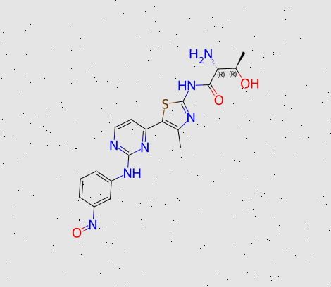 Cc1nc(NC(=O)[C@H](N)[C@@H](C)O)sc1-c1ccnc(Nc2cccc(N=O)c2)n1